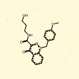 COc1ccc(Cn2nc(C(=O)NCCCO)c(=O)c3ccccc32)cc1